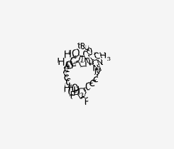 Cc1nc2cc3nn2c(c1[C@H](OC(C)(C)C)C(=O)O)N1CCC(C)(CC1)OCCCC[C@H](C)Oc1c(F)cc(F)cc1CCC3